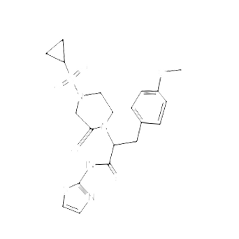 COc1ccc(CC(C(=O)Nc2nccs2)N2CCN(S(=O)(=O)C3CC3)CC2=O)cc1